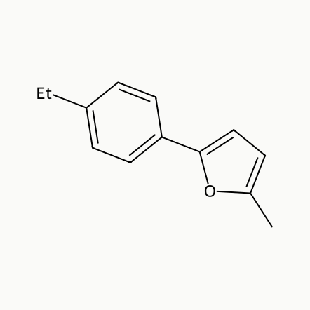 CCc1ccc(-c2ccc(C)o2)cc1